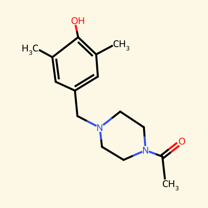 CC(=O)N1CCN(Cc2cc(C)c(O)c(C)c2)CC1